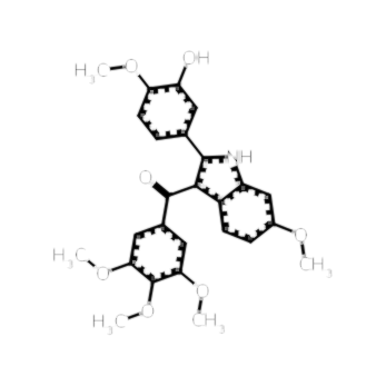 COc1ccc2c(C(=O)c3cc(OC)c(OC)c(OC)c3)c(-c3ccc(OC)c(O)c3)[nH]c2c1